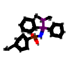 CCCCc1ccc(S(=O)(=O)N=P(c2ccccc2)(c2ccccc2)P(C(C)C)C(C)C)cc1